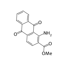 COC(=O)c1ccc2c(c1N)C(=O)c1ccccc1C2=O